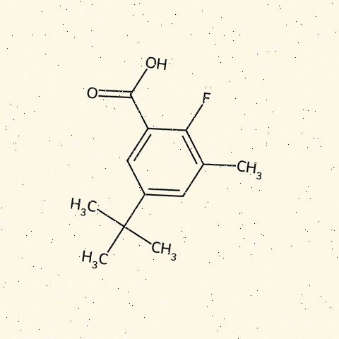 Cc1cc(C(C)(C)C)cc(C(=O)O)c1F